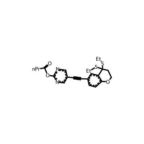 CCCC(=O)Oc1ncc(C#Cc2ccc3c(c2)C(SCC)(SCC)CCO3)cn1